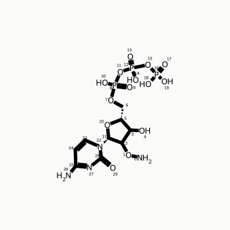 NOC1C(O)[C@@H](COP(=O)(O)OP(=O)(O)OP(=O)(O)O)O[C@H]1n1ccc(N)nc1=O